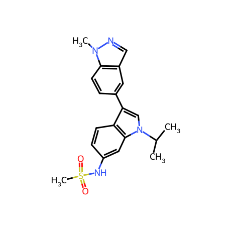 CC(C)n1cc(-c2ccc3c(cnn3C)c2)c2ccc(NS(C)(=O)=O)cc21